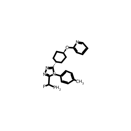 Cc1ccc(-n2c(C(F)P)nnc2[C@H]2CC[C@H](Oc3ccccn3)CC2)cc1